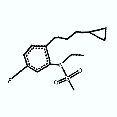 CCN(c1cc(F)ccc1CCCC1CC1)S(C)(=O)=O